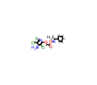 C/C(=N\OC(=O)COc1nc(F)c(Cl)c(N)c1Cl)c1ccccc1